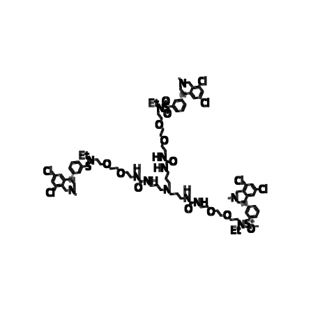 CCN(CCOCCOCCNC(=O)NCCCN(CCCNC(=O)NCCOCCOCCN(CC)[S+]([O-])c1cccc([C@@H]2CN(C)Cc3c(Cl)cc(Cl)cc32)c1)CCCNC(=O)NCCOCCOCCN(CC)S(=O)(=O)c1cccc([C@@H]2CN(C)Cc3c(Cl)cc(Cl)cc32)c1)Sc1cccc([C@@H]2CN(C)Cc3c(Cl)cc(Cl)cc32)c1